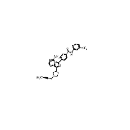 CC#CCN1CCC(c2nc(-c3ccc(C(=O)Nc4cc(C(F)(F)F)ccn4)cc3)n3c(N)nccc23)C1